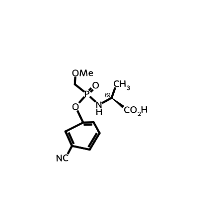 COCP(=O)(N[C@@H](C)C(=O)O)Oc1cccc(C#N)c1